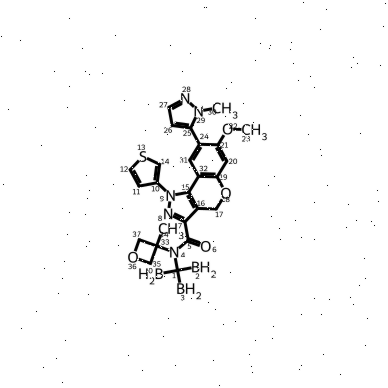 BC(B)(B)N(C(=O)c1nn(-c2ccsc2)c2c1COc1cc(OC)c(-c3ccnn3C)cc1-2)C1(C)COC1